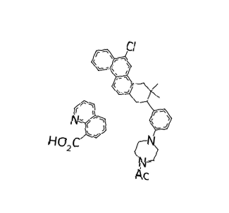 CC(=O)N1CCN(c2cccc(C3Cc4ccc5c(cc(Cl)c6ccccc65)c4CC3(C)C)c2)CC1.O=C(O)c1cccc2cccnc12